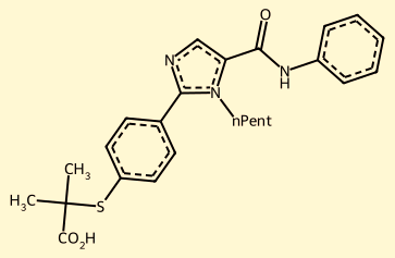 CCCCCn1c(C(=O)Nc2ccccc2)cnc1-c1ccc(SC(C)(C)C(=O)O)cc1